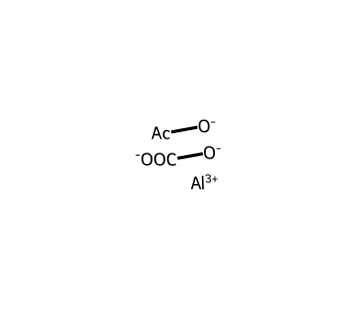 CC(=O)[O-].O=C([O-])[O-].[Al+3]